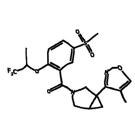 Cc1conc1C12CC1CN(C(=O)c1cc(S(C)(=O)=O)ccc1OC(C)C(F)(F)F)C2